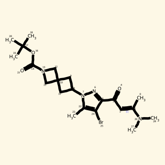 C/C(=C\C(=O)c1nn(C2CC3(C2)CN(C(=O)OC(C)(C)C)C3)c(C)c1Br)N(C)C